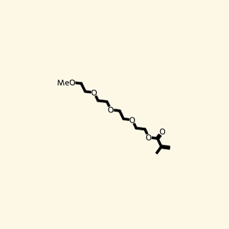 C=C(C)C(=O)OCCOCCOCCOCCOC